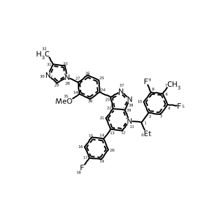 CCC(c1cc(F)c(C)c(F)c1)n1cc(-c2ccc(F)cc2)cc2c(-c3ccc(-n4cnc(C)c4)c(OC)c3)nnc1-2